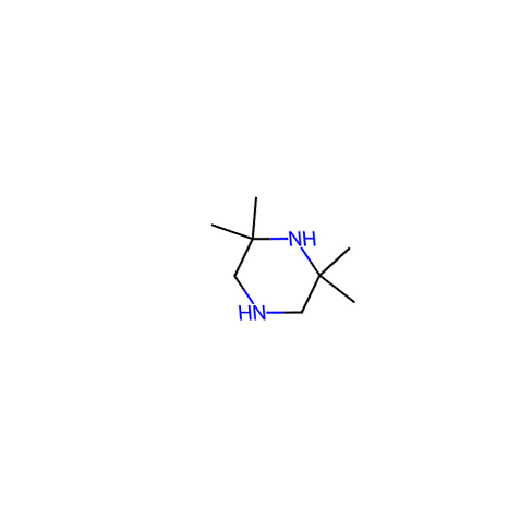 CC1(C)CNCC(C)(C)N1